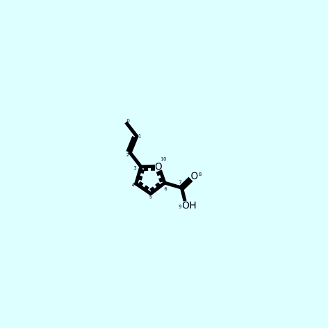 CC=Cc1ccc(C(=O)O)o1